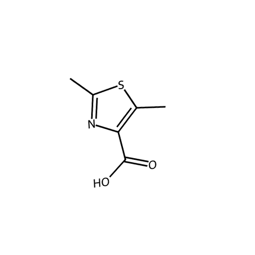 Cc1nc(C(=O)O)c(C)s1